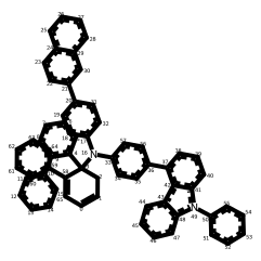 C1=CCC(c2ccccc2-c2ccccc2)(N(c2ccc(-c3ccc4ccccc4c3)cc2)c2ccc(-c3cccc4c3c3ccccc3n4-c3ccccc3)cc2)C(c2ccccc2)=C1